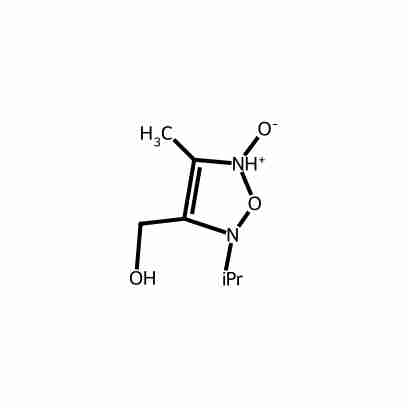 CC1=C(CO)N(C(C)C)O[NH+]1[O-]